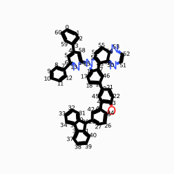 c1ccc(-c2cc(-c3ccccc3)nc(-n3c4ccc(-c5ccc6oc7ccc(C8c9ccccc9-c9ccccc98)cc7c6c5)cc4c4c5nccnc5ccc43)c2)cc1